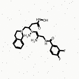 N/C(=C\N(N)C(CC(=O)NO)CN1CCc2ccccc2C1)CNC(=O)c1ccc(F)c(F)c1